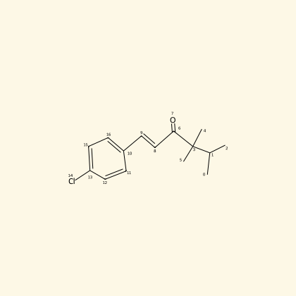 CC(C)C(C)(C)C(=O)/C=C/c1ccc(Cl)cc1